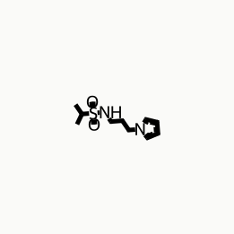 CC(C)S(=O)(=O)NCCCn1cccc1